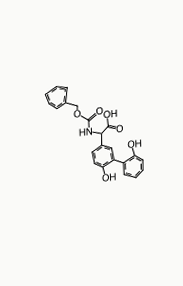 O=C(NC(C(=O)O)c1ccc(O)c(-c2ccccc2O)c1)OCc1ccccc1